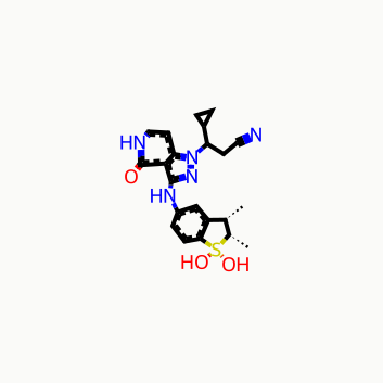 C[C@H]1c2cc(Nc3nn(C(CC#N)C4CC4)c4cc[nH]c(=O)c34)ccc2S(O)(O)[C@H]1C